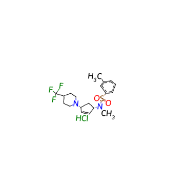 Cc1cccc(S(=O)(=O)N(C)[C@@H]2C=C[C@H](N3CCC(C(F)(F)F)CC3)C2)c1.Cl